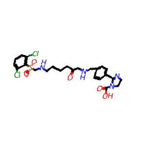 O=C(CCCCNCS(=O)(=O)c1c(Cl)cccc1Cl)CNCc1ccc(C2=NCCN2C(=O)O)cc1